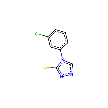 Sc1nncn1-c1cccc(Cl)c1